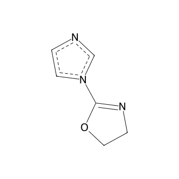 c1cn(C2=NCCO2)cn1